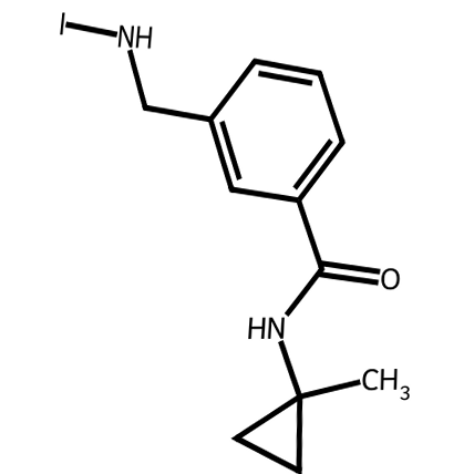 CC1(NC(=O)c2cccc(CNI)c2)CC1